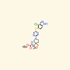 C[C@@H]1OCC2(CCN(c3cnc(Sc4ccc5[nH]ncc5c4Cl)cn3)CC2)[C@@H]1NC(=O)OC(C)(C)C